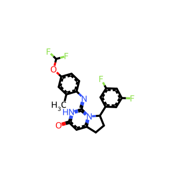 Cc1cc(OC(F)F)ccc1/N=c1\[nH]c(=O)cc2n1C(c1cc(F)cc(F)c1)CC2